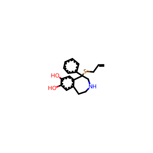 C=CCSC1(c2ccccc2)CNCCc2cc(O)c(O)cc21